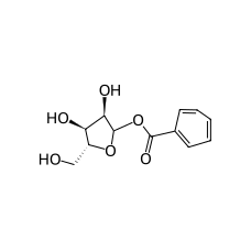 O=C(OC1O[C@H](CO)[C@@H](O)[C@H]1O)c1ccccc1